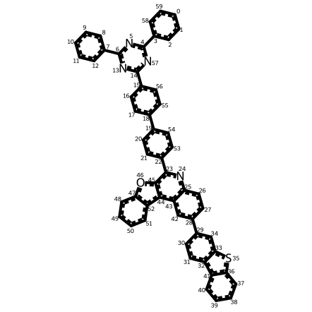 c1ccc(-c2nc(-c3ccccc3)nc(-c3ccc(-c4ccc(-c5nc6ccc(-c7ccc8c(c7)sc7ccccc78)cc6c6c5oc5ccccc56)cc4)cc3)n2)cc1